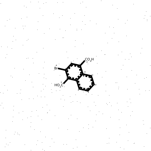 O=C(O)c1cc(Br)c(C(=O)O)c2ccccc12